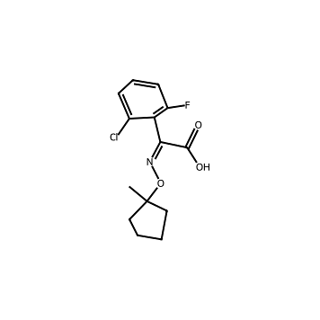 CC1(O/N=C(\C(=O)O)c2c(F)cccc2Cl)CCCC1